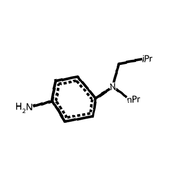 CCCN(CC(C)C)c1ccc(N)cc1